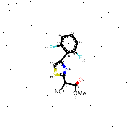 COC(=O)C(C#N)c1nc(-c2c(F)cccc2F)cs1